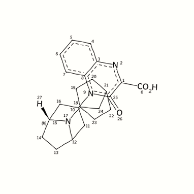 O=C(O)c1nc2ccccc2n(C2CC3CC[C@H](C2)N3C23CCC(CC2)C3)c1=O